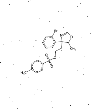 Cc1ccc(S(=O)(=O)OCCC2(c3ccccc3Br)N=COC2C)cc1